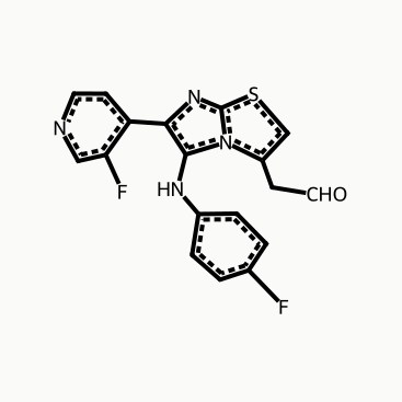 O=CCc1csc2nc(-c3ccncc3F)c(Nc3ccc(F)cc3)n12